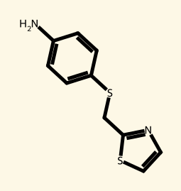 Nc1ccc(SCc2nccs2)cc1